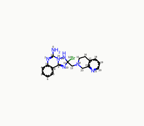 NC1=Nc2ccccc2C2=NC(Br)(CN3CCc4cccnc4C3)NN12